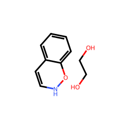 C1=Cc2ccccc2ON1.OCCO